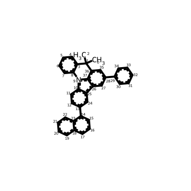 CC1(C)c2ccccc2-n2c3ccc(-c4cccc5ccccc45)cc3c3cc(-c4ccccc4)cc1c32